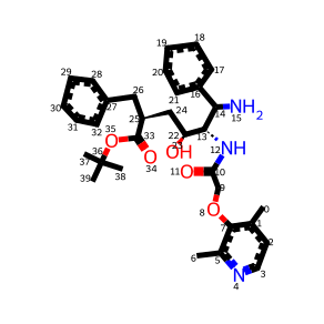 Cc1ccnc(C)c1OCC(=O)N[C@@H](C(N)c1ccccc1)[C@@H](O)C[C@H](Cc1ccccc1)C(=O)OC(C)(C)C